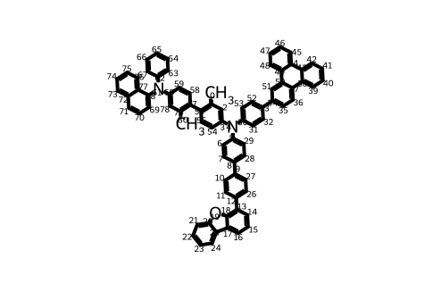 Cc1cc(N(c2ccc(-c3ccc(-c4cccc5c4oc4ccccc45)cc3)cc2)c2ccc(-c3ccc4c5ccccc5c5ccccc5c4c3)cc2)ccc1-c1ccc(N(c2ccccc2)c2cccc3ccccc23)cc1C